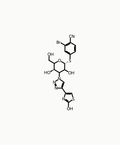 N#Cc1ccc(S[C@H]2OC(CO)[C@H](O)C(n3cc(-c4csc(O)n4)nn3)C2O)cc1Br